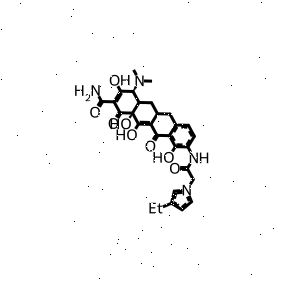 CCc1ccn(CC(=O)Nc2ccc3c(c2O)C(=O)C2=C(O)[C@]4(O)C(=O)C(C(N)=O)=C(O)[C@@H](N(C)C)C4CC2C3)c1